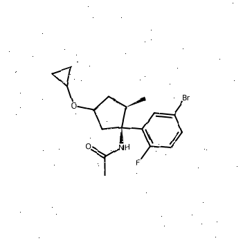 CC(=O)N[C@@]1(c2cc(Br)ccc2F)CC(OC2CC2)C[C@H]1C